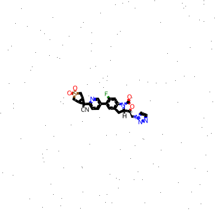 N#CC1(c2ccc(-c3cc4c(cc3F)N3C(=O)O[C@@H](Cn5ccnn5)[C@@H]3C4)cn2)C2CS(=O)(=O)CC21